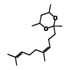 CC(C)=CCCC(C)=CCCC1(C)OC(C)CC(C)O1